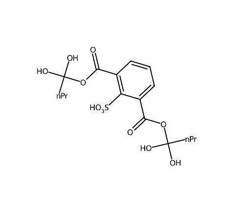 CCCC(O)(O)OC(=O)c1cccc(C(=O)OC(O)(O)CCC)c1S(=O)(=O)O